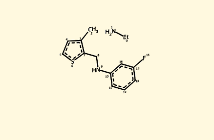 CCN.Cc1ccsc1CNc1cccc(F)c1